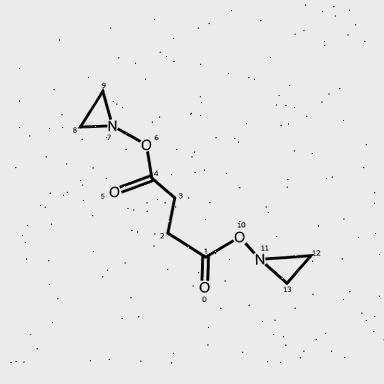 O=C(CCC(=O)ON1CC1)ON1CC1